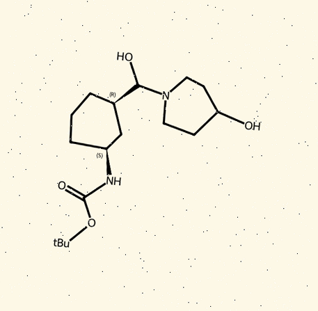 CC(C)(C)OC(=O)N[C@H]1CCC[C@@H](C(O)N2CCC(O)CC2)C1